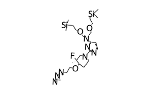 C[C@]1(F)CN(c2nccc(N(COCC[Si](C)(C)C)COCC[Si](C)(C)C)n2)CC[C@H]1OCCN=[N+]=[N-]